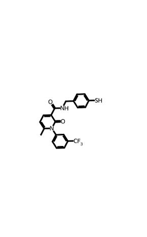 Cc1ccc(C(=O)NCc2ccc(S)cc2)c(=O)n1-c1cccc(C(F)(F)F)c1